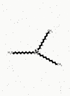 CCCCCCCCCCCCCSP(=S)(SCCCCCCCCCCCCC)SCCCCCCCCCCCCC